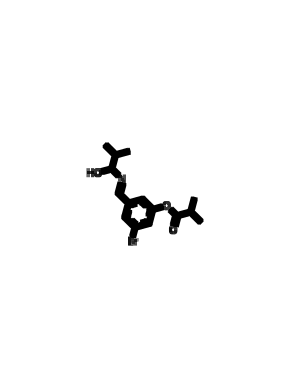 CC(C)C(=O)Oc1cc(Br)cc(/C=N/C(O)C(C)C)c1